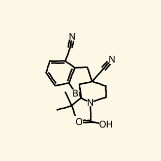 CC(C)(C)C1CC(C#N)(Cc2c(Br)cccc2C#N)CCN1C(=O)O